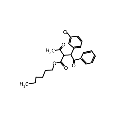 CCCCCCOC(=O)C(C(C)=O)C(C(=O)c1ccccc1)c1cccc(Cl)c1